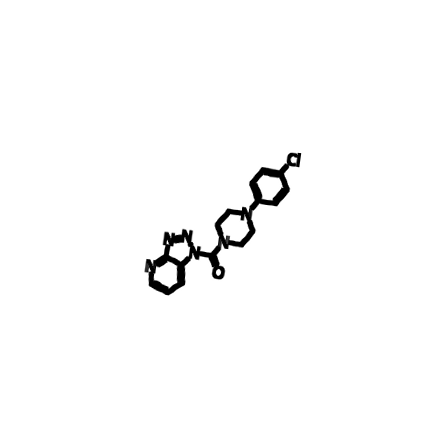 O=C(N1CCN(c2ccc(Cl)cc2)CC1)n1nnc2ncccc21